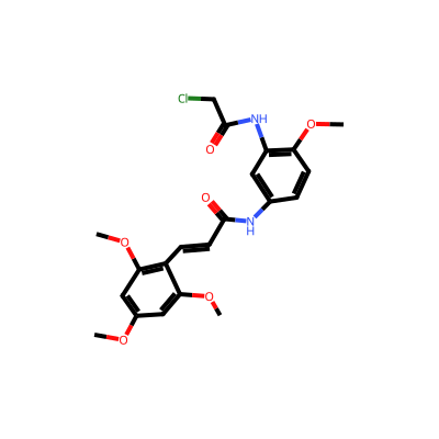 COc1cc(OC)c(C=CC(=O)Nc2ccc(OC)c(NC(=O)CCl)c2)c(OC)c1